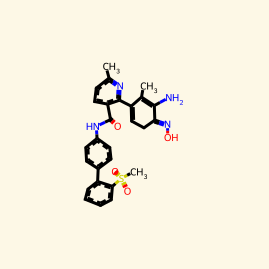 CC1=C(N)C(=NO)CC=C1c1nc(C)ccc1C(=O)Nc1ccc(-c2ccccc2S(C)(=O)=O)cc1